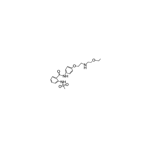 CCOCCNCCOc1ccc(NC(=O)c2ccccc2NS(C)(=O)=O)cc1